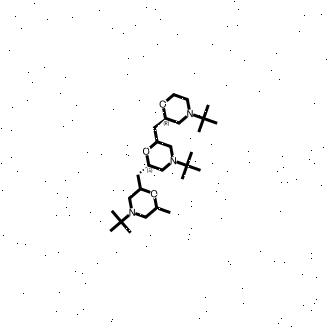 CC1CN(C(C)(C)C)CC(C[C@H]2CN(C(C)(C)C)CC(C[C@@H]3CN(C(C)(C)C)CCO3)O2)O1